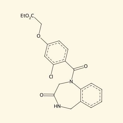 CCOC(=O)COc1ccc(C(=O)N2CC(=O)NCc3ccccc32)c(Cl)c1